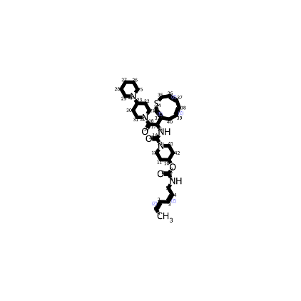 C/C=C\C=C/CNC(=O)OC1CCN(C(=O)NC(C(=O)N2CCC(N3CCCCC3)CC2)/C2=C/SC/C=C\C=C/C2)CC1